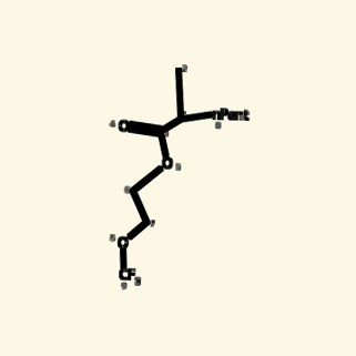 CCCCCC(C)C(=O)OCCOC(F)(F)F